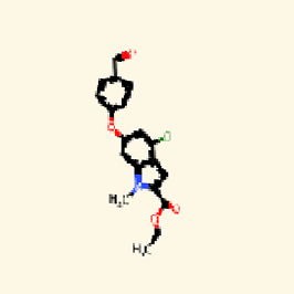 CCOC(=O)c1cc2c(Cl)cc(Oc3ccc(C=O)cc3)cc2n1C